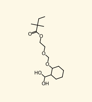 CCC(C)(C)C(=O)OCCOCOC1CCCCC1C(O)O